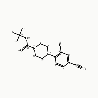 [C-]#[N+]c1ccc(N2CCN(C(=O)OC(C)(C)C)CC2)c(F)c1